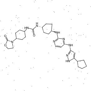 O=C(NC1CCC(N2CCOC2=O)CC1)N[C@H]1CC[C@H](Nc2nccc(Nc3cc(C4CCCC4)[nH]n3)n2)CC1